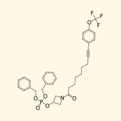 O=C(CCCCCCC#Cc1ccc(OC(F)(F)F)cc1)N1CC(OP(=O)(OCc2ccccc2)OCc2ccccc2)C1